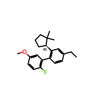 CCc1ccc(-c2cc(OC)ccc2F)c([C@H]2CCCC2(C)C)c1